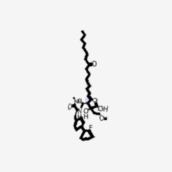 CCCCCCCC(=O)CCCCCC/C=C/[C@H](C(=O)N[C@@H](Cc1ccc(-c2ccccc2F)cc1)C(=O)NC)[C@@](O)(CCOC)C(=O)O